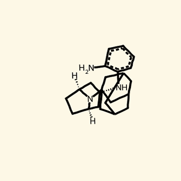 Nc1ccccc1N[C@@H]1C[C@H]2CC[C@@H](C1)N2C12CC3CC(CC(C3)C1)C2